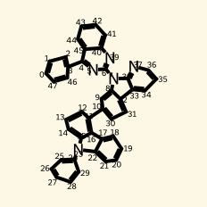 c1ccc(-c2nc(-n3c4cc(-c5cccc6c5c5ccccc5n6-c5ccccc5)ccc4c4cccnc43)nc3ccccc23)cc1